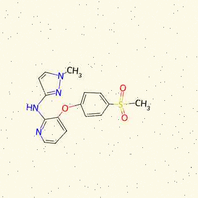 Cn1ccc(Nc2ncccc2Oc2ccc(S(C)(=O)=O)cc2)n1